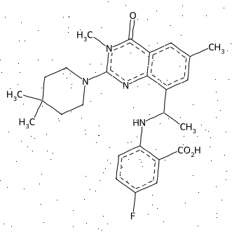 Cc1cc(C(C)Nc2ccc(F)cc2C(=O)O)c2nc(N3CCC(C)(C)CC3)n(C)c(=O)c2c1